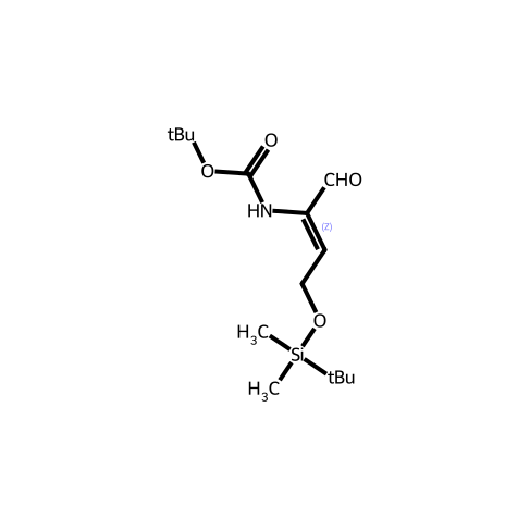 CC(C)(C)OC(=O)N/C(C=O)=C\CO[Si](C)(C)C(C)(C)C